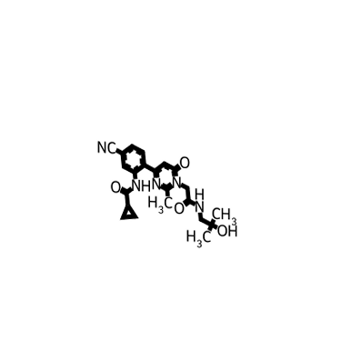 Cc1nc(-c2ccc(C#N)cc2NC(=O)C2CC2)cc(=O)n1CC(=O)NCC(C)(C)O